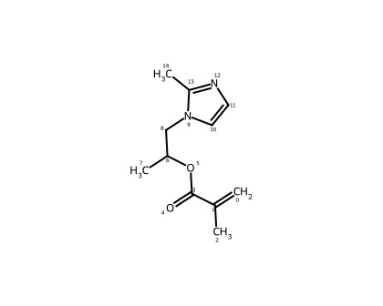 C=C(C)C(=O)OC(C)Cn1ccnc1C